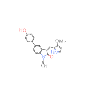 C#CN1C(=O)/C(=C\c2[nH]ccc2OC)c2cc(-c3ccc(O)cc3)ccc21